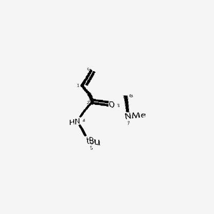 C=CC(=O)NC(C)(C)C.CNC